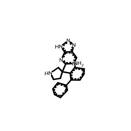 Nc1cccc(-c2ccccc2)c1C1(c2ncc3nn[nH]c3n2)CCNC1